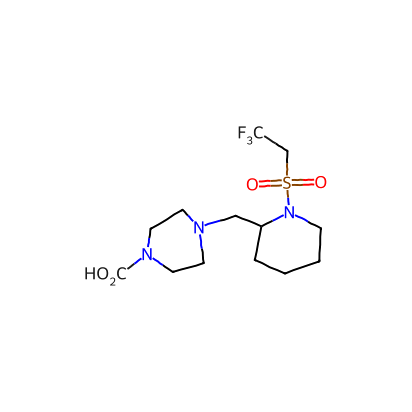 O=C(O)N1CCN(CC2CCCCN2S(=O)(=O)CC(F)(F)F)CC1